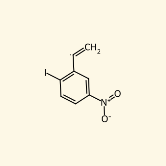 C=[C]c1cc([N+](=O)[O-])ccc1I